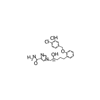 Cl.NC(=O)c1cn(C[C@@H](O)CCCc2ccccc2OCc2ccc(Cl)cc2)cn1